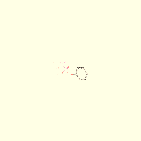 O=P(O)(O)P(=O)(O)Oc1ccccc1